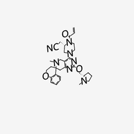 C=CC(=O)N1CCN(c2nc(OC[C@@H]3CCCN3C)nc3c2CN(C)C2(CCOc4ccccc42)C3)C[C@@H]1CC#N